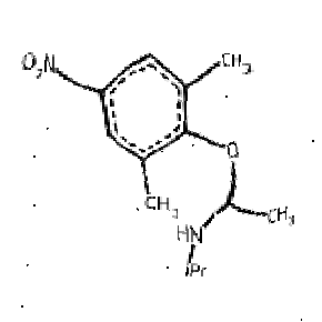 Cc1cc([N+](=O)[O-])cc(C)c1OC(C)NC(C)C